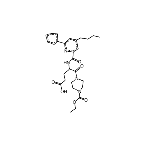 CCCCc1cc(C(=O)NC(CCC(=O)O)C(=O)N2CCN(C(=O)OCC)CC2)nc(-c2ccccc2)c1